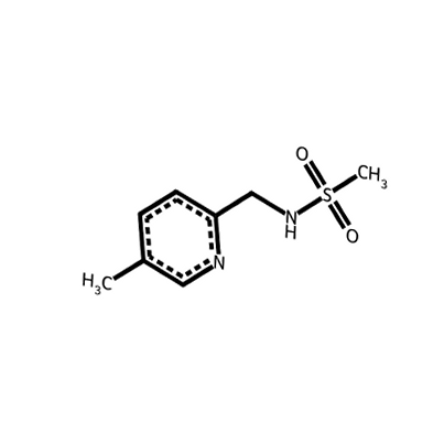 Cc1ccc(CNS(C)(=O)=O)nc1